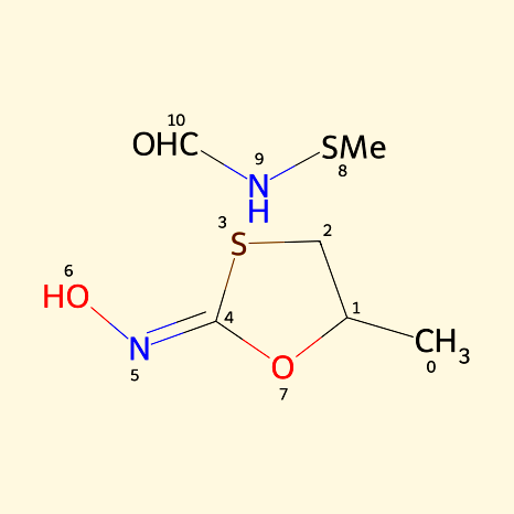 CC1CSC(=NO)O1.CSNC=O